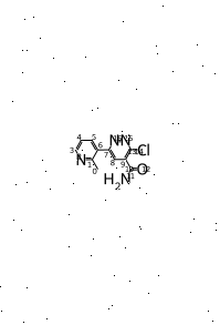 Cc1ncccc1-c1cc(C(N)=O)c(Cl)nn1